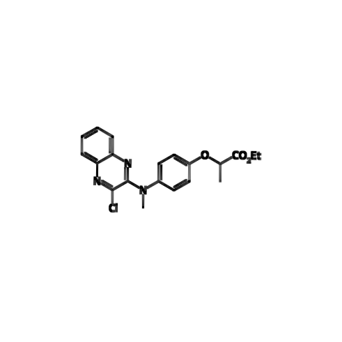 CCOC(=O)C(C)Oc1ccc(N(C)c2nc3ccccc3nc2Cl)cc1